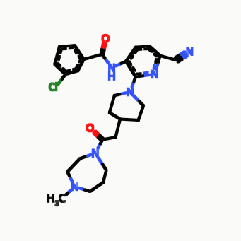 CN1CCCN(C(=O)CC2CCN(c3nc(C#N)ccc3NC(=O)c3cccc(Cl)c3)CC2)CC1